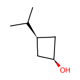 CC(C)[C@H]1C[C@@H](O)C1